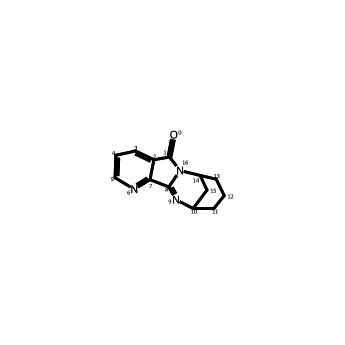 O=C1c2cccnc2C2=NC3CCCC(C3)N12